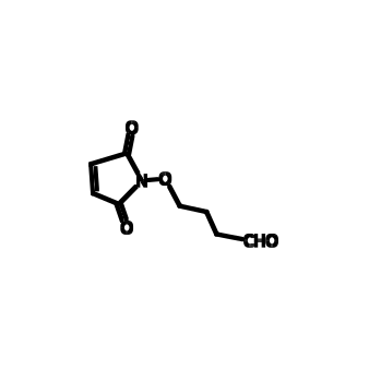 O=CCCCON1C(=O)C=CC1=O